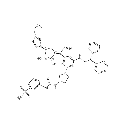 CCc1nnn([C@H]2C[C@@H](n3cnc4c(NCC(c5ccccc5)c5ccccc5)nc(N5CCC(NC(=O)Nc6cccc(S(N)(=O)=O)c6)C5)nc43)[C@H](O)[C@@H]2O)n1